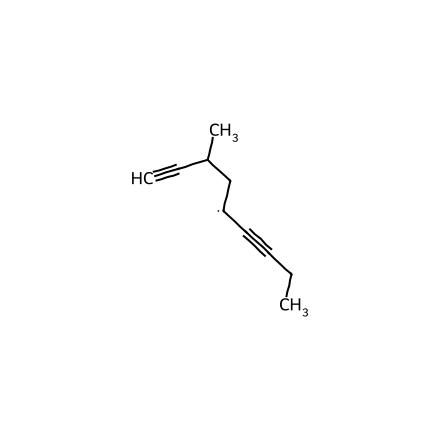 C#CC(C)C[CH]C#CCC